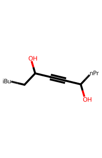 CCCC(O)C#CC(O)CC(C)CC